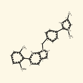 COc1cccc(C)c1-c1ncc2cnn(Cc3ccc(-c4nc(C(F)(F)F)cn4C)cc3)c2n1